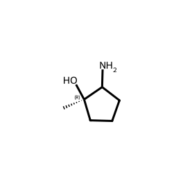 C[C@@]1(O)CCCC1N